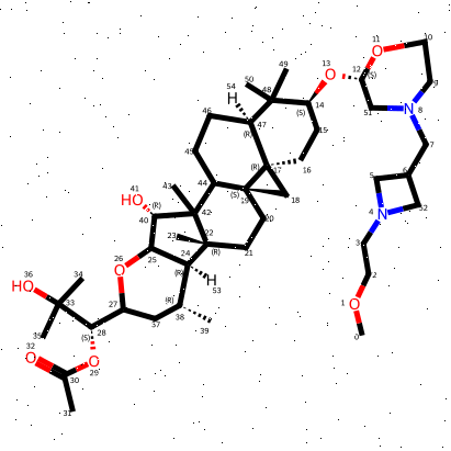 COCCN1CC(CN2CCO[C@@H](O[C@H]3CC[C@]45C[C@]46CC[C@]4(C)[C@@H]7C(OC([C@H](OC(C)=O)C(C)(C)O)C[C@H]7C)[C@H](O)C4(C)C6CC[C@H]5C3(C)C)C2)C1